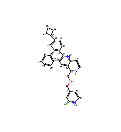 Fc1cc(COCc2nccc3nc(-c4ccc(C5CCC5)cc4)c(-c4ccccc4)cc23)ccn1